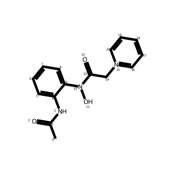 CC(=O)Nc1ccccc1N(O)C(=O)C[n+]1ccccc1